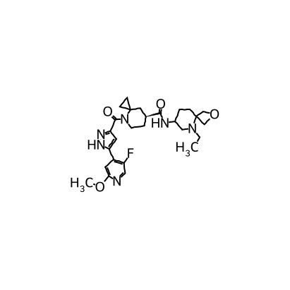 CCN1CC(NC(=O)[C@H]2CCN(C(=O)c3cc(-c4cc(OC)ncc4F)[nH]n3)C3(CC3)C2)CCC12COC2